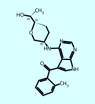 Cc1ccccc1C(=O)c1c[nH]c2ncnc(N[C@@H]3CC[C@@H]([C@@H](C)O)OC3)c12